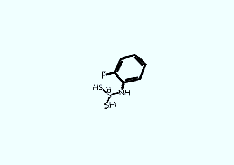 Fc1ccccc1N[SH](S)S